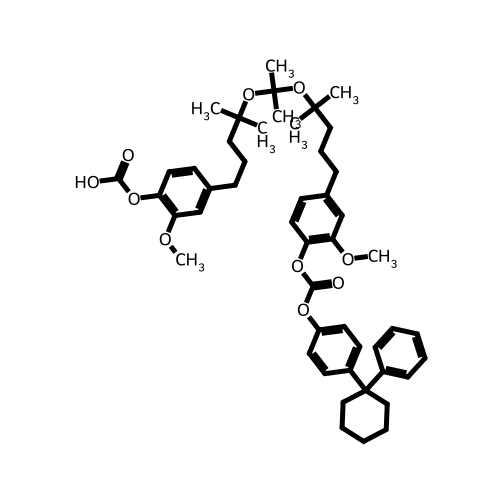 COc1cc(CCCC(C)(C)OC(C)(C)OC(C)(C)CCCc2ccc(OC(=O)Oc3ccc(C4(c5ccccc5)CCCCC4)cc3)c(OC)c2)ccc1OC(=O)O